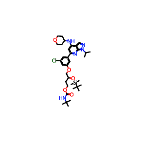 CC(C)n1ncc2c(NC3CCOCC3)cc(-c3cc(Cl)cc(OCC(CCOC(=O)NC(C)(C)C)O[Si](C)(C)C(C)(C)C)c3)nc21